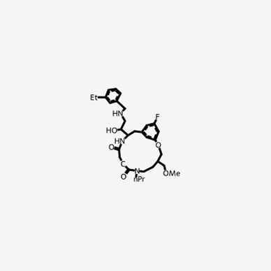 CCCN1CCC(COC)COc2cc(F)cc(c2)CC(C(O)CNCc2cccc(CC)c2)NC(=O)CCC1=O